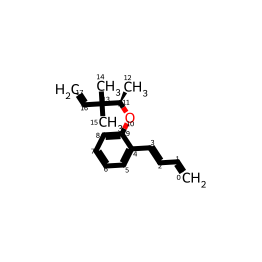 C=C/C=C/c1ccccc1O[C@H](C)C(C)(C)C=C